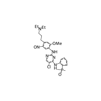 CCN(CC)CCCc1cc(OC)c(Nc2ncc(Cl)c(Nc3ccccc3P(C)(C)=O)n2)cc1N=O